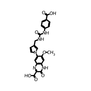 COc1cc2[nH]c(=O)c(C(=O)O)nc2cc1-n1ccc(CNC(=O)Nc2ccc(C(=O)O)cc2)c1